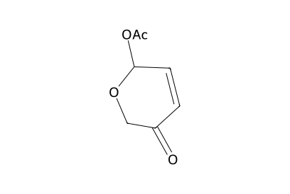 CC(=O)OC1C=CC(=O)CO1